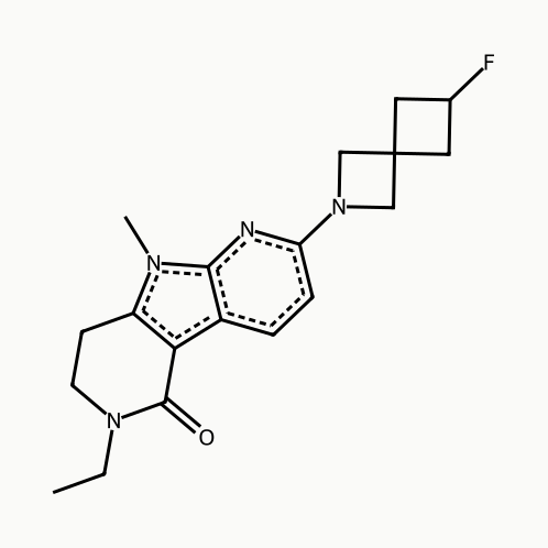 CCN1CCc2c(c3ccc(N4CC5(CC(F)C5)C4)nc3n2C)C1=O